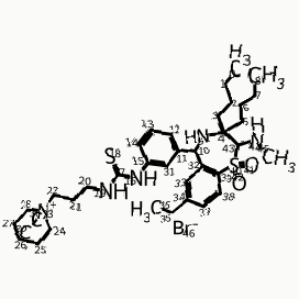 CCCCC1(CCCC)NC(c2cccc(NC(=S)NCCC[N+]34CCC(CC3)CC4)c2)c2cc(CC)ccc2S(=O)(=O)C1NC.[Br-]